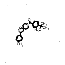 Cc1ccc(C2=NOC3(CCN(C(=O)c4ccc(C(C)(C)C)cc4)CC3)C2)cc1